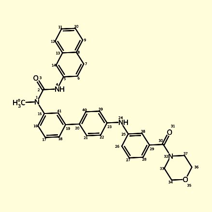 CN(C(=O)Nc1ccc2ccccc2c1)c1cccc(-c2ccc(Nc3cccc(C(=O)N4CCOCC4)c3)cc2)c1